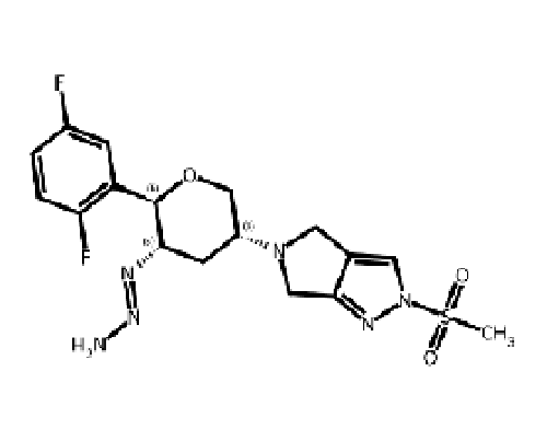 CS(=O)(=O)n1cc2c(n1)CN([C@H]1CO[C@H](c3cc(F)ccc3F)[C@@H](N=NN)C1)C2